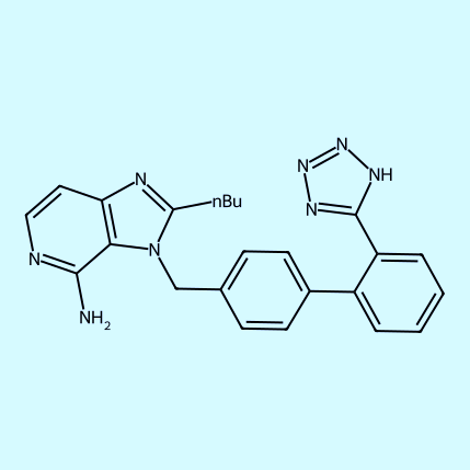 CCCCc1nc2ccnc(N)c2n1Cc1ccc(-c2ccccc2-c2nnn[nH]2)cc1